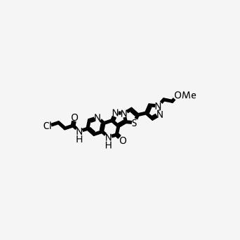 COCCn1cc(-c2cn3nc4c5ncc(NC(=O)CCCl)cc5[nH]c(=O)c4c3s2)cn1